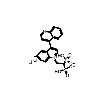 Cl.O=P(O)(O)C(C[n+]1ccc(-c2ccnc3ccccc23)c2ccccc21)P(=O)(O)O.[Cl-]